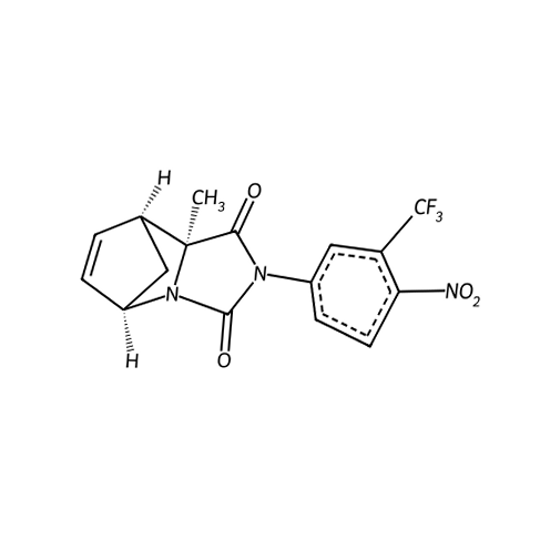 C[C@]12C(=O)N(c3ccc([N+](=O)[O-])c(C(F)(F)F)c3)C(=O)N1[C@H]1C=C[C@@H]2C1